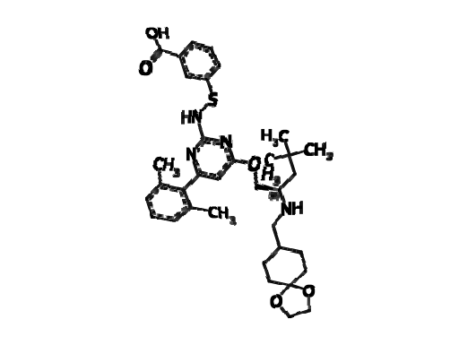 Cc1cccc(C)c1-c1cc(OC[C@@H](CC(C)(C)C)NCC2CCC3(CC2)OCCO3)nc(NSc2cccc(C(=O)O)c2)n1